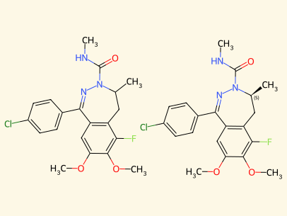 CNC(=O)N1N=C(c2ccc(Cl)cc2)c2cc(OC)c(OC)c(F)c2CC1C.CNC(=O)N1N=C(c2ccc(Cl)cc2)c2cc(OC)c(OC)c(F)c2C[C@@H]1C